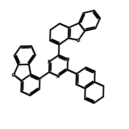 C1=Cc2cc(-c3nc(C4=CCCc5c4oc4ccccc54)nc(-c4cccc5oc6ccccc6c45)n3)ccc2CC1